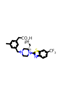 Cc1cc(CC(=O)O)cc(CN2CCN(c3nc4ccc(C(F)(F)F)cc4s3)[C@@H](CC(C)C)C2)c1